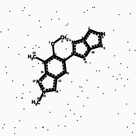 COc1c(-c2nc3c[nH]nc3s2)cc2cn(C)nc2c1C